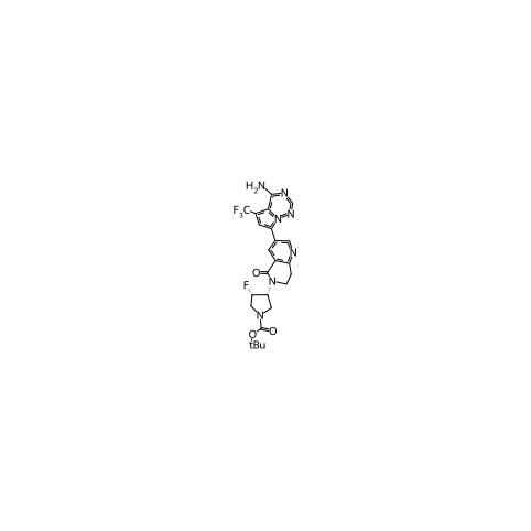 CC(C)(C)OC(=O)N1C[C@@H](N2CCc3ncc(-c4cc(C(F)(F)F)c5c(N)ncnn45)cc3C2=O)[C@@H](F)C1